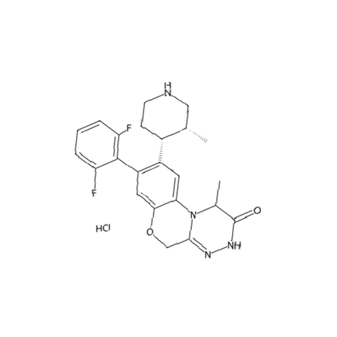 CC1C(=O)NN=C2COc3cc(-c4c(F)cccc4F)c([C@@H]4CCNC[C@@H]4C)cc3N21.Cl